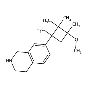 COC1(C)CC(C)(c2ccc3c(c2)CNCC3)C1(C)C